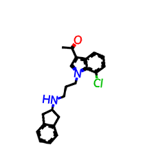 CC(=O)c1cn(CCCNC2Cc3ccccc3C2)c2c(Cl)cccc12